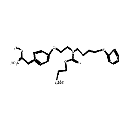 CCOC(Cc1ccc(OCCN(CCCCSc2ccccc2)C(=O)OCCOC)cc1)C(=O)O